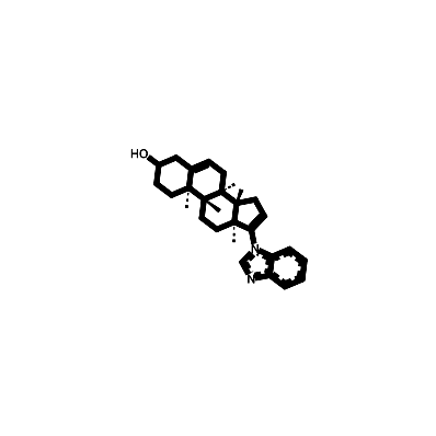 C[C@@]12CC=C3CC(O)CC[C@]3(C)[C@@]1(C)CC[C@]1(C)C(n3cnc4ccccc43)=CC[C@@]21C